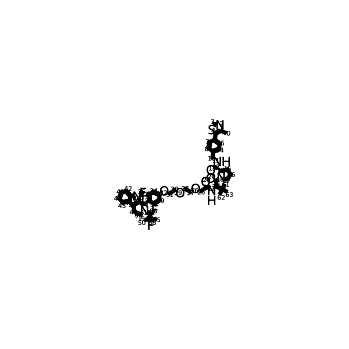 Cc1ncsc1-c1ccc(CNC(=O)[C@@H]2CCCN2C(=O)[C@@H](NC(=O)COCCOCCOc2cc(F)c([C@@H]3c4[nH]c5ccccc5c4C[C@@H](C)N3CC(C)(C)F)c(F)c2)C(C)(C)C)cc1